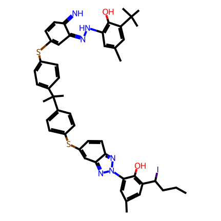 CCCC(I)c1cc(C)cc(-n2nc3ccc(Sc4ccc(C(C)(C)c5ccc(SC6=C/C(=N/Nc7cc(C)cc(C(C)(C)C)c7O)C(=N)C=C6)cc5)cc4)cc3n2)c1O